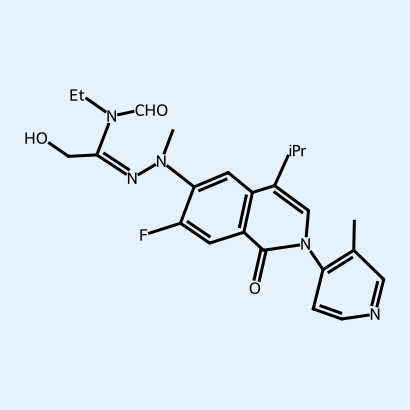 CCN(C=O)/C(CO)=N\N(C)c1cc2c(C(C)C)cn(-c3ccncc3C)c(=O)c2cc1F